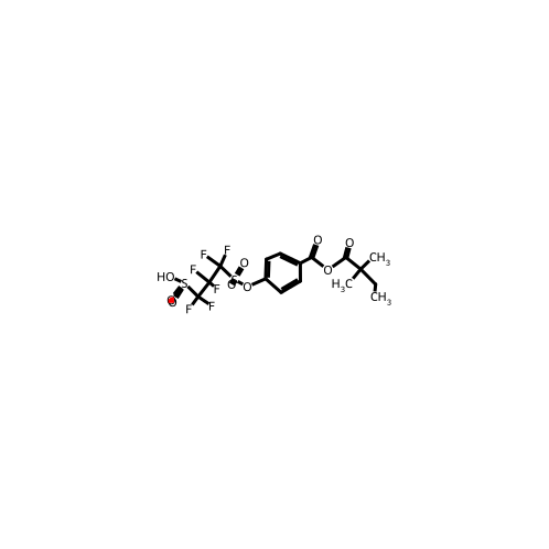 CCC(C)(C)C(=O)OC(=O)c1ccc(OS(=O)(=O)C(F)(F)C(F)(F)C(F)(F)S(=O)(=O)O)cc1